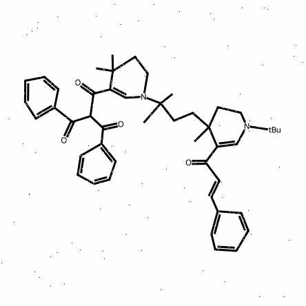 CC1(C)CCN(C(C)(C)CCC2(C)CCN(C(C)(C)C)C=C2C(=O)/C=C/c2ccccc2)C=C1C(=O)C(C(=O)c1ccccc1)C(=O)c1ccccc1